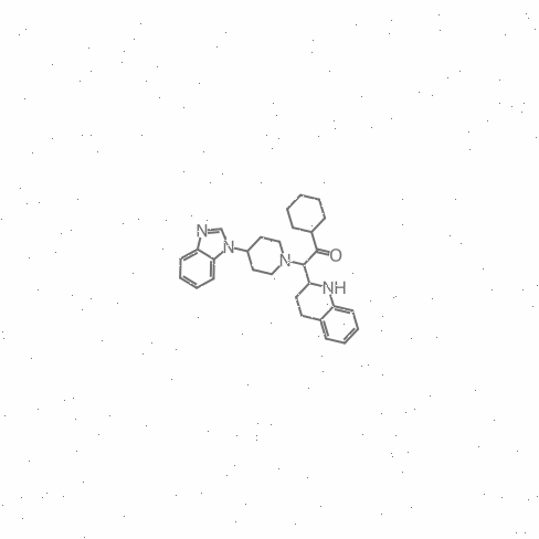 O=C(C1CCCCC1)C(C1CCc2ccccc2N1)N1CCC(n2cnc3ccccc32)CC1